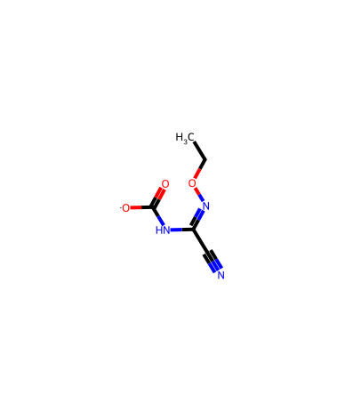 CCO/N=C(/C#N)NC([O])=O